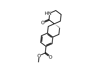 COC(=O)c1ccc2c(c1)CC[C@]1(CCCNC1=O)C2